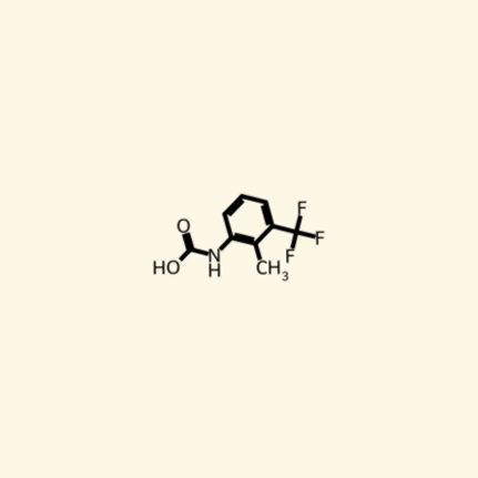 Cc1c(NC(=O)O)cccc1C(F)(F)F